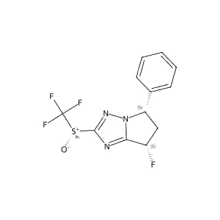 [O-][S@@+](c1nc2n(n1)[C@H](c1ccccc1)C[C@@H]2F)C(F)(F)F